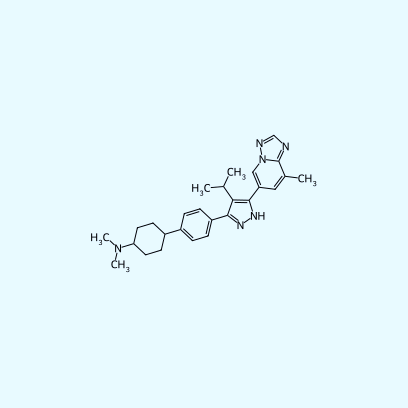 Cc1cc(-c2[nH]nc(-c3ccc(C4CCC(N(C)C)CC4)cc3)c2C(C)C)cn2ncnc12